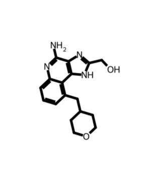 Nc1nc2cccc(CC3CCOCC3)c2c2[nH]c(CO)nc12